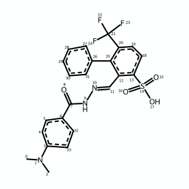 CN(C)c1ccc(C(=O)NN=Cc2c(S(=O)(=O)O)ccc(C(F)(F)F)c2-c2ccccc2)cc1